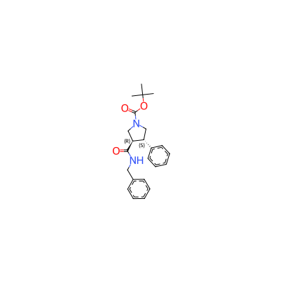 CC(C)(C)OC(=O)N1C[C@H](C(=O)NCc2ccccc2)[C@@H](c2ccccc2)C1